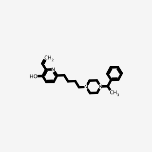 C=Cc1nc(CCCCN2CCN(C(C)c3ccccc3)CC2)ccc1O